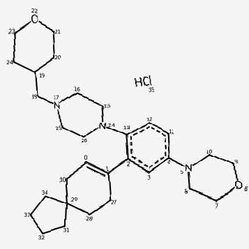 C1=C(c2cc(N3CCOCC3)ccc2N2CCN(CC3CCOCC3)CC2)CCC2(C1)CCCC2.Cl